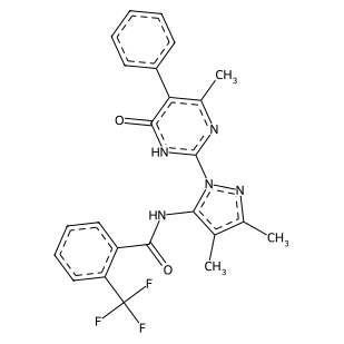 Cc1nn(-c2nc(C)c(-c3ccccc3)c(=O)[nH]2)c(NC(=O)c2ccccc2C(F)(F)F)c1C